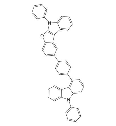 c1ccc(-n2c3ccccc3c3c(-c4ccc(-c5ccc6oc7c(c6c5)c5ccccc5n7-c5ccccc5)cc4)cccc32)cc1